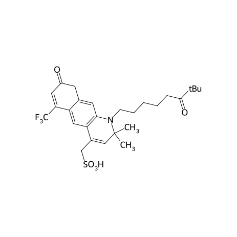 CC(C)(C)C(=O)CCCCCN1c2cc3c(cc2C(CS(=O)(=O)O)=CC1(C)C)C(C(F)(F)F)=CC(=O)C3